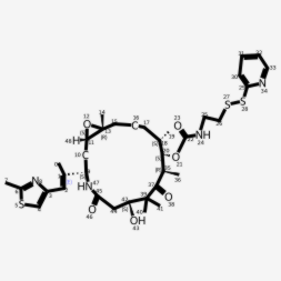 C/C(=C\c1csc(C)n1)[C@@H]1C[C@@H]2O[C@]2(C)CCC[C@H](C)[C@H](OC(=O)NCCSSc2ccccn2)[C@@H](C)C(=O)C(C)(C)[C@@H](O)CC(=O)N1